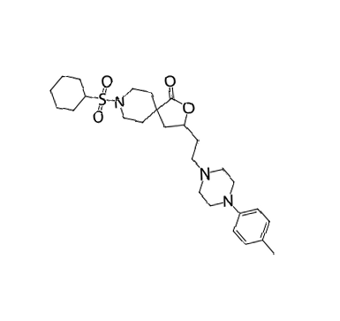 Cc1ccc(N2CCN(CCC3CC4(CCN(S(=O)(=O)C5CCCCC5)CC4)C(=O)O3)CC2)cc1